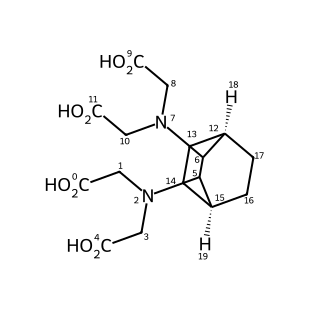 O=C(O)CN(CC(=O)O)C1C(N(CC(=O)O)CC(=O)O)[C@H]2CC[C@@H]1CC2